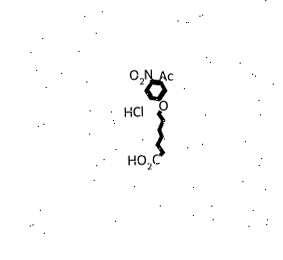 CC(=O)c1cc(OCCCCCCC(=O)O)ccc1[N+](=O)[O-].Cl